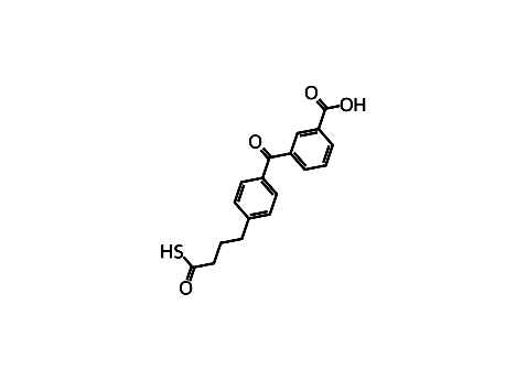 O=C(S)CCCc1ccc(C(=O)c2cccc(C(=O)O)c2)cc1